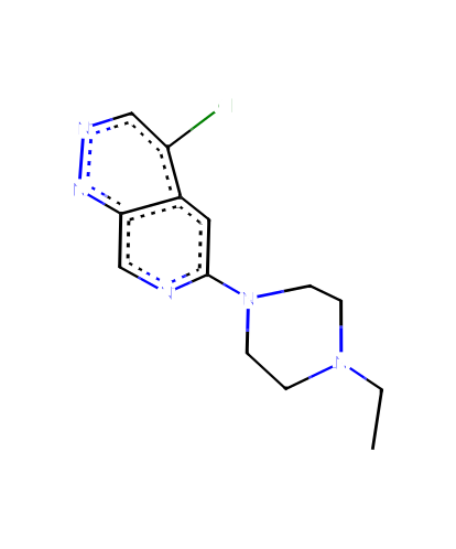 CCN1CCN(c2cc3c(Cl)cnnc3cn2)CC1